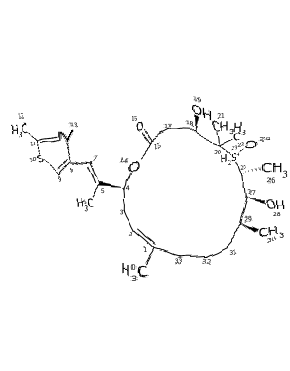 C/C1=C/C[C@@H](/C(C)=C/c2csc(C)n2)OC(=O)C[C@@H](O)C(C)(C)[SH2+]([O-])[C@H](C)[C@@H](O)[C@@H](C)CCC1